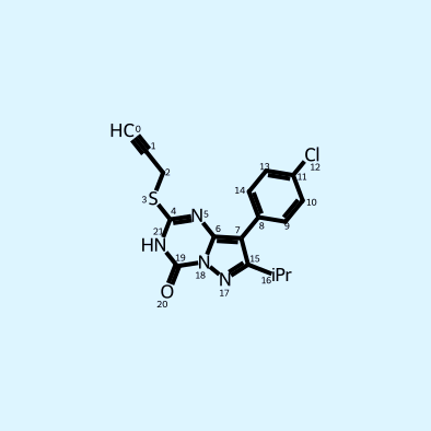 C#CCSc1nc2c(-c3ccc(Cl)cc3)c(C(C)C)nn2c(=O)[nH]1